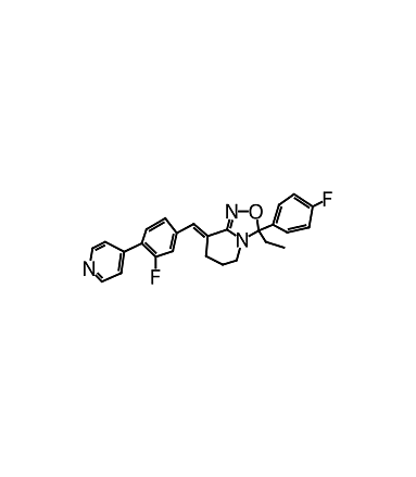 CCC1(c2ccc(F)cc2)ON=C2/C(=C/c3ccc(-c4ccncc4)c(F)c3)CCCN21